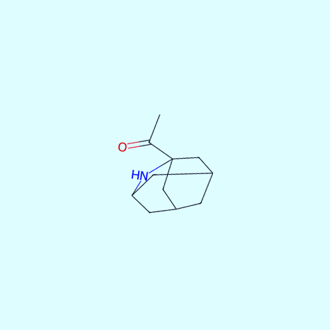 CC(=O)C12CC3CC(CC(C3)N1)C2